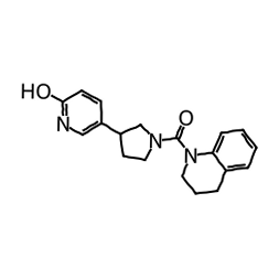 O=C(N1CCC(c2ccc(O)nc2)C1)N1CCCc2ccccc21